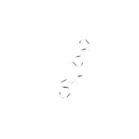 Cc1nc(-c2ncccn2)ncc1OC(=O)Nn1cc(C(F)(F)F)c2cnccc21